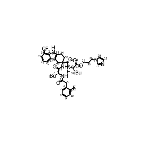 CCC(C)[C@H](NC(=O)Cc1ccccc1F)C(=O)N[C@]1(C(=O)N[C@@H](C(=O)OCCCn2ccnc2)C(C)CC)CCc2[nH]c3c(C(F)(F)F)cccc3c2C1